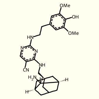 COc1cc(CCNc2ncc(C#N)c(NC[C@]34CC5C[C@H](C3)[C@@H](N)[C@@H](C5)C4)n2)cc(OC)c1O